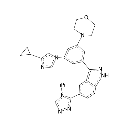 CC(C)n1cnnc1-c1ccc2[nH]nc(-c3cc(N4CCOCC4)cc(-n4cnc(C5CC5)c4)c3)c2c1